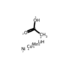 CC(=O)O.[Co].[LiH].[Mn].[Ni]